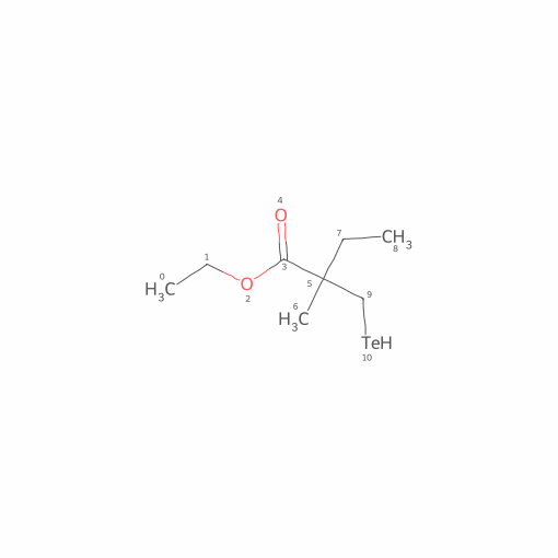 CCOC(=O)C(C)(CC)C[TeH]